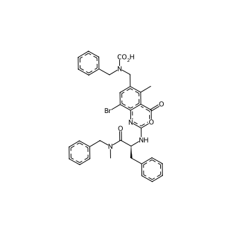 Cc1c(CN(Cc2ccccc2)C(=O)O)cc(Br)c2nc(N[C@@H](Cc3ccccc3)C(=O)N(C)Cc3ccccc3)oc(=O)c12